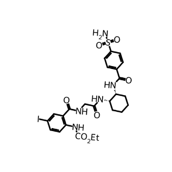 CCOC(=O)Nc1ccc(I)cc1C(=O)NCC(=O)N[C@H]1CCCC[C@H]1NC(=O)c1ccc(S(N)(=O)=O)cc1